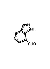 O=Cc1cncc2cn[nH]c12